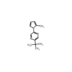 Cc1cccn1-c1cnc(C(C)(C)C)cn1